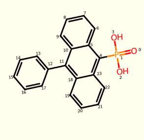 O=P(O)(O)c1c2ccccc2c(-c2ccccc2)c2ccccc12